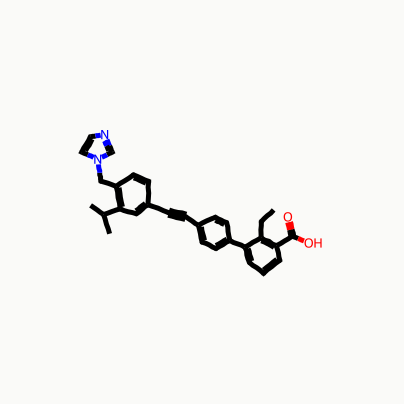 CCc1c(C(=O)O)cccc1-c1ccc(C#Cc2ccc(Cn3ccnc3)c(C(C)C)c2)cc1